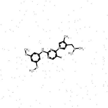 COc1cc(Nc2ncc(F)c(-n3cc(C)c(CN(C)C)c3)n2)cc(OC)c1